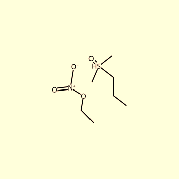 CCC[SH](C)(C)=O.CCO[N+](=O)[O-]